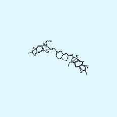 CCN1/C(=C/C2=CC3=C/C(=C/c4sc5cc6nc(C)sc6cc5[n+]4CC)CCC3CC2)Sc2cc3nc(C)sc3cc21